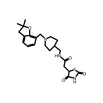 CC1(C)Cc2cccc(CN3CCC(CNC(=O)CC4SC(=O)NC4=O)CC3)c2O1